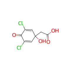 O=C(O)CC1(O)C=C(Cl)C(=O)C(Cl)=C1